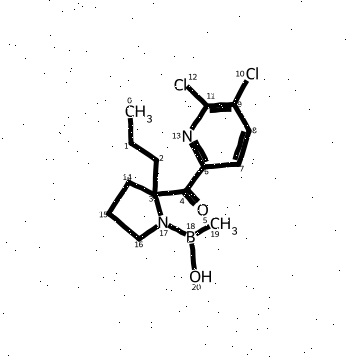 CCCC1(C(=O)c2ccc(Cl)c(Cl)n2)CCCN1B(C)O